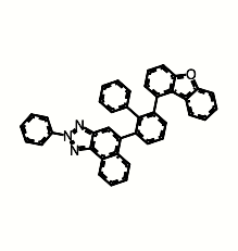 c1ccc(-c2c(-c3cc4nn(-c5ccccc5)nc4c4ccccc34)cccc2-c2cccc3oc4ccccc4c23)cc1